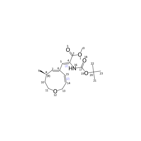 COC(=O)/C(=C/C1=C[C@H](C)CCOC/C=C\1)NC(=O)OC(C)(C)C